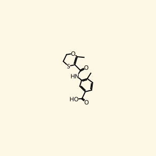 CC1=C(C(=O)Nc2cc(C(=O)O)ccc2C)SCCO1